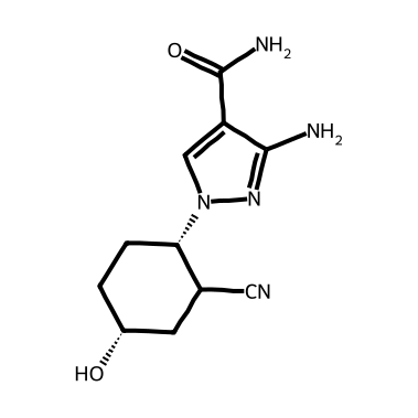 N#CC1C[C@H](O)CC[C@@H]1n1cc(C(N)=O)c(N)n1